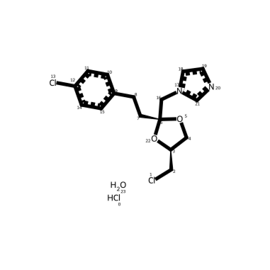 Cl.ClC[C@@H]1CO[C@@](CCc2ccc(Cl)cc2)(Cn2ccnc2)O1.O